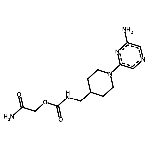 NC(=O)COC(=O)NCC1CCN(c2cncc(N)n2)CC1